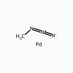 CN=[N+]=[N-].[Pd]